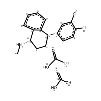 CN[C@H]1CC[C@@H](c2ccc(Cl)c(Cl)c2)c2ccccc21.O=C(O)O.O=C(O)O